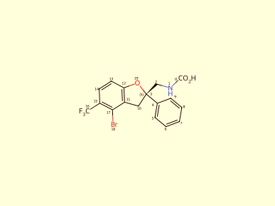 O=C(O)NC[C@@]1(c2ccccc2)Cc2c(ccc(C(F)(F)F)c2Br)O1